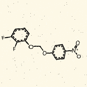 O=[N+]([O-])c1ccc(OCOc2cccc(F)c2F)cc1